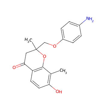 Cc1c(O)ccc2c1OC(C)(COc1ccc(N)cc1)CC2=O